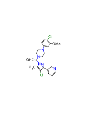 COc1cc(N2CCN(C(C=O)n3nc(-c4cccnc4)c(Cl)c3C)CC2)ccc1Cl